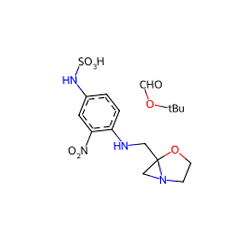 CC(C)(C)OC=O.O=[N+]([O-])c1cc(NS(=O)(=O)O)ccc1NCC12CN1CCO2